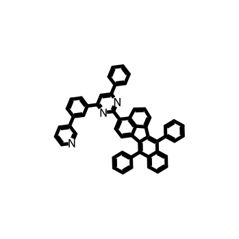 c1ccc(-c2cc(-c3cccc(-c4cccnc4)c3)nc(-c3ccc4c5c(cccc35)-c3c-4c(-c4ccccc4)c4ccccc4c3-c3ccccc3)n2)cc1